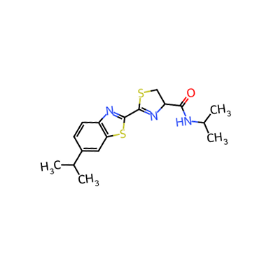 CC(C)NC(=O)C1CSC(c2nc3ccc(C(C)C)cc3s2)=N1